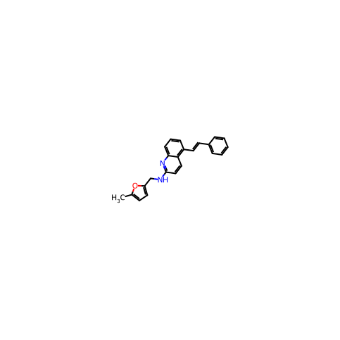 Cc1ccc(CNc2ccc3c(/C=C/c4ccccc4)cccc3n2)o1